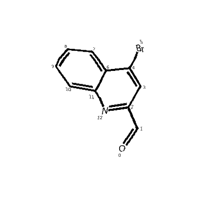 O=Cc1cc(Br)c2ccccc2n1